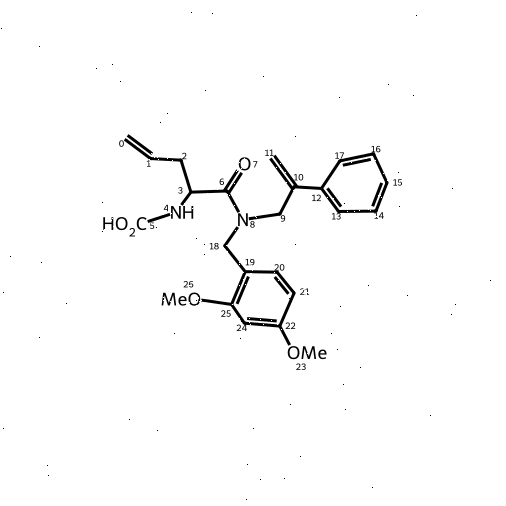 C=CCC(NC(=O)O)C(=O)N(CC(=C)c1ccccc1)Cc1ccc(OC)cc1OC